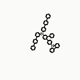 c1ccc(-c2ccc(-c3ccc(N(c4cccc(-c5ccc(-c6ccccc6)cc5)c4)c4ccc(-c5ccc(-n6c7ccccc7c7ccccc76)cc5)c(-c5ccccc5)c4)cc3)cc2)cc1